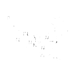 N#CCN(C(=O)NCc1ccc(F)cc1)N1CC(=O)N2[C@@H](c3ccccc3)C(=O)N(Cc3cccc4ccccc34)C[C@@H]21